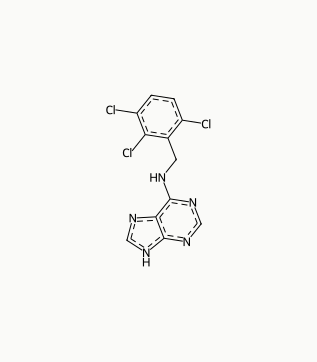 Clc1ccc(Cl)c(CNc2ncnc3[nH]cnc23)c1Cl